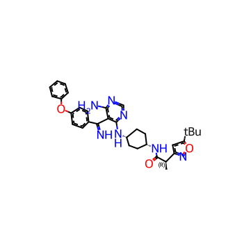 C[C@@H](C(=O)N[C@H]1CC[C@@H](Nc2ncnc(N)c2C(=N)c2ccc(Oc3ccccc3)cc2)CC1)c1cc(C(C)(C)C)on1